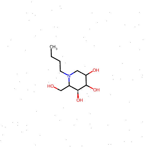 CCCCN1CC(O)C(O)[C@@H](O)C1CO